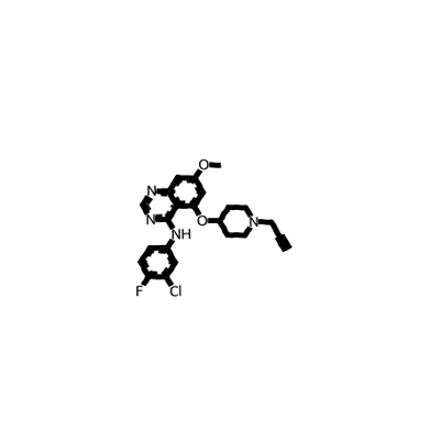 C#CCN1CCC(Oc2cc(OC)cc3ncnc(Nc4ccc(F)c(Cl)c4)c23)CC1